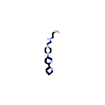 CCCNCCN1CCN(c2ccc(-c3ccccn3)nc2)CC1